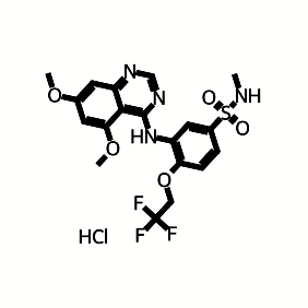 CNS(=O)(=O)c1ccc(OCC(F)(F)F)c(Nc2ncnc3cc(OC)cc(OC)c23)c1.Cl